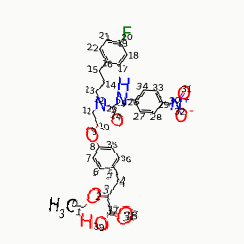 CCOC(Cc1ccc(OCCN(CCCc2ccc(F)cc2)C(=O)Nc2ccc([N+](=O)[O-])cc2)cc1)C(=O)O